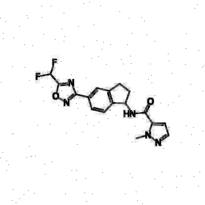 Cn1nccc1C(=O)NC1CCc2cc(-c3noc(C(F)F)n3)ccc21